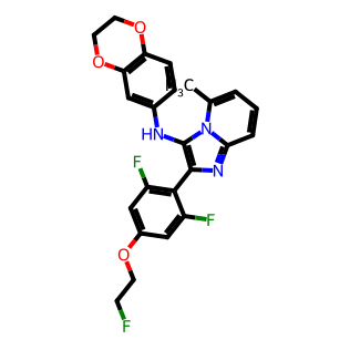 Cc1cccc2nc(-c3c(F)cc(OCCF)cc3F)c(Nc3ccc4c(c3)OCCO4)n12